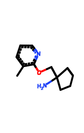 Cc1cccnc1OCC1(N)CCCC1